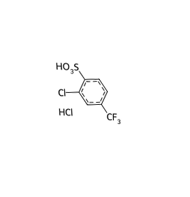 Cl.O=S(=O)(O)c1ccc(C(F)(F)F)cc1Cl